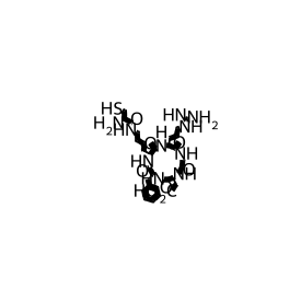 N=C(N)NCCC[C@@H]1NC(=O)[C@H](CCCCNC(=O)[C@@H](N)CS)NC(=O)[C@@H](Cc2ccccc2)NC(=O)[C@H](CC(=O)O)NC(=O)CNC1=O